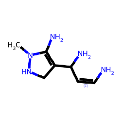 CN1NCC(C(N)/C=C\N)=C1N